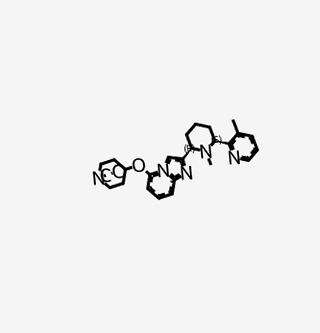 Cc1cccnc1[C@@H]1CCC[C@H](c2cn3c(OC45CCN(CC4)CC5)cccc3n2)N1C